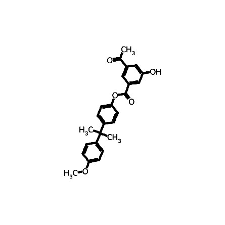 COc1ccc(C(C)(C)c2ccc(OC(=O)c3cc(O)cc(C(C)=O)c3)cc2)cc1